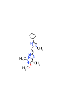 COc1nc(C)n2nc(/C=C/c3nc(-c4ccccc4)cn3C)nc2c1C